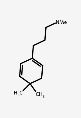 CNCCCC1=CCC(C)(C)C=C1